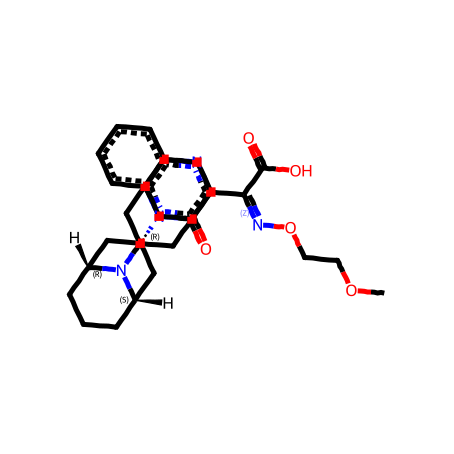 COCCO/N=C(\C(=O)O)c1nc2ccccc2n([C@H]2C[C@H]3CCC[C@@H](C2)N3C2CC3CCCC(C3)C2)c1=O